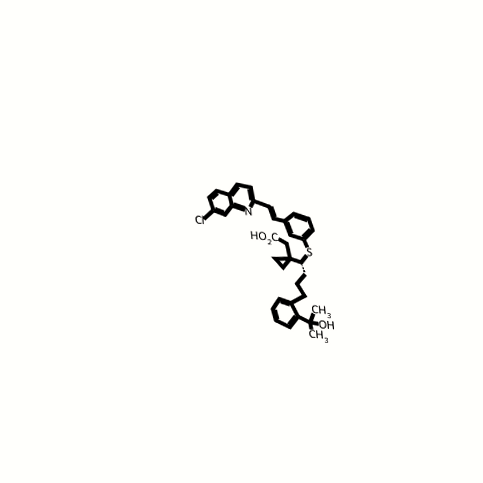 CC(C)(O)c1ccccc1CCC[C@@H](Sc1cccc(C=Cc2ccc3ccc(Cl)cc3n2)c1)C1(CC(=O)O)CC1